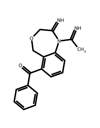 CC(=N)N1C(=N)COCc2c(C(=O)c3ccccc3)cccc21